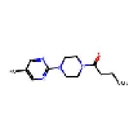 COCCC(=O)N1CCN(c2ncc(C#N)cn2)CC1